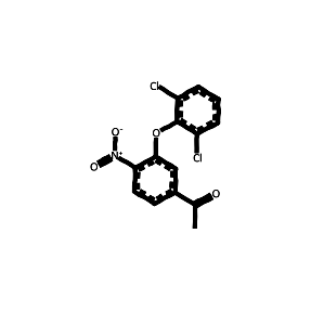 CC(=O)c1ccc([N+](=O)[O-])c(Oc2c(Cl)cccc2Cl)c1